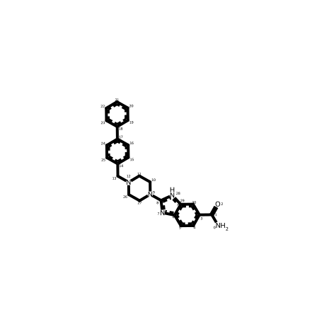 NC(=O)c1ccc2nc(N3CCN(Cc4ccc(-c5ccccc5)cc4)CC3)[nH]c2c1